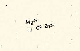 [Li+].[Mg+2].[O-2].[Zn+2]